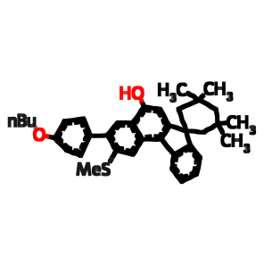 CCCCOc1ccc(-c2cc3c(O)cc4c(c3cc2SC)-c2ccccc2C42CC(C)(C)CC(C)(C)C2)cc1